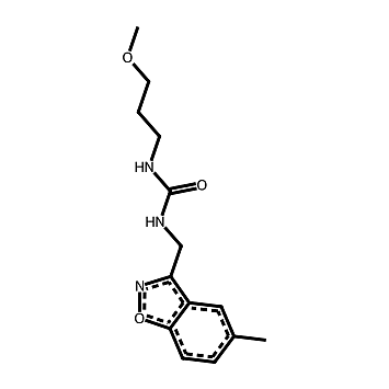 COCCCNC(=O)NCc1noc2ccc(C)cc12